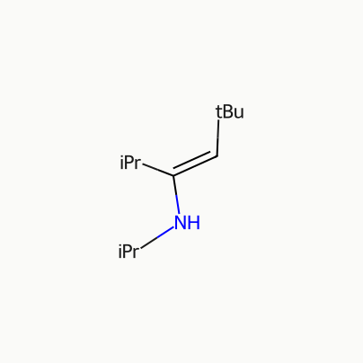 CC(C)N/C(=C/C(C)(C)C)C(C)C